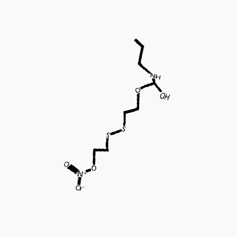 CCCNC(O)OCCSSCCO[N+](=O)[O-]